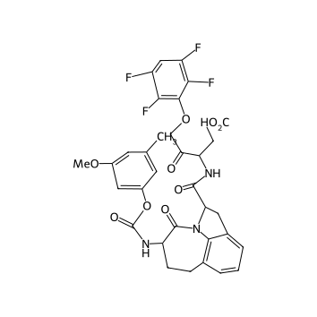 COc1cc(C)cc(OC(=O)NC2CCc3cccc4c3N(C2=O)C(C(=O)NC(CC(=O)O)C(=O)COc2c(F)c(F)cc(F)c2F)C4)c1